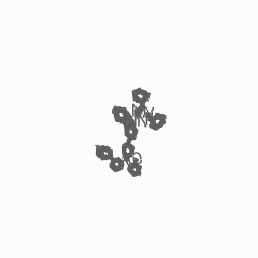 c1ccc(-c2cccc(N3c4ccccc4Oc4cc(-c5ccc6c(c5)c5ccccc5n6-c5nc(-c6ccccc6)nc(-c6ccccc6)n5)ccc43)c2)cc1